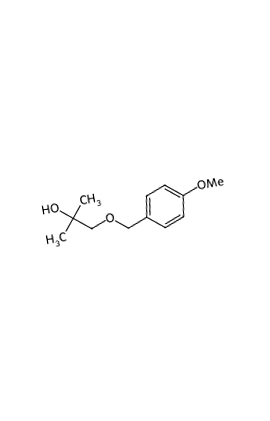 COc1ccc(COCC(C)(C)O)cc1